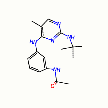 CC(=O)Nc1cccc(Nc2nc(NC(C)(C)C)ncc2C)c1